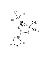 CC(C)(C)CC(=NNC(F)(F)F)C1CCCC1